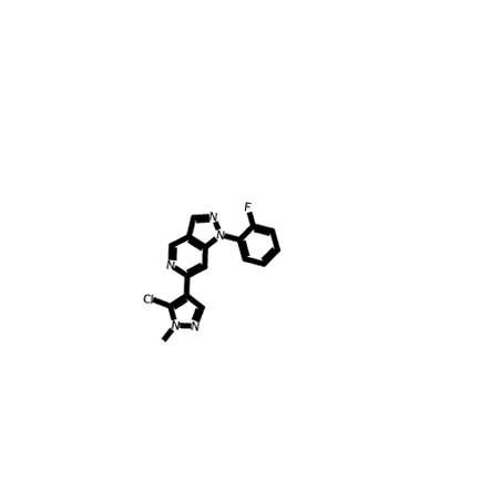 Cn1ncc(-c2cc3c(cn2)cnn3-c2ccccc2F)c1Cl